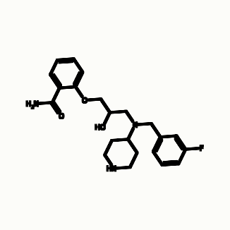 NC(=O)c1ccccc1OCC(O)CN(Cc1cccc(F)c1)C1CCNCC1